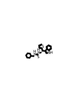 S=C(NCC1CCCCC1)NC[C@H](c1cccs1)c1c[nH]c2ccccc12